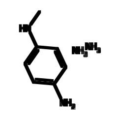 CNc1ccc(N)cc1.N.N